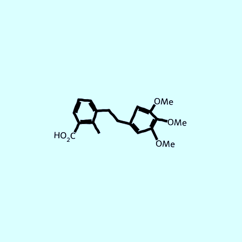 COc1cc(CCc2cccc(C(=O)O)c2C)cc(OC)c1OC